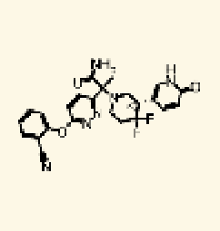 CC(C(N)=O)(c1ccc(Oc2ccccc2C#N)nn1)N1CCC(F)(F)[C@@H](c2ccc(=O)[nH]c2)C1